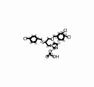 Clc1ccc(CSC(COCc2ccc(Cl)c(Cl)c2)Cn2ccnc2)cc1.O=[N+]([O-])O